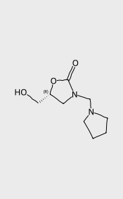 O=C1O[C@@H](CO)CN1CN1CCCC1